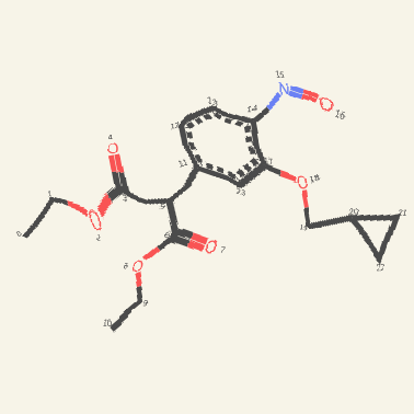 CCOC(=O)C(C(=O)OCC)c1ccc(N=O)c(OCC2CC2)c1